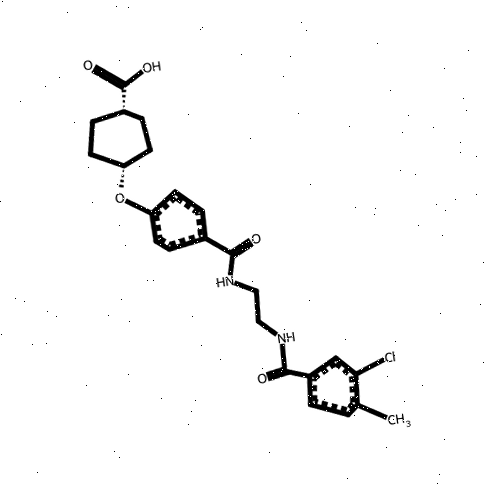 Cc1ccc(C(=O)NCCNC(=O)c2ccc(O[C@H]3CC[C@@H](C(=O)O)CC3)cc2)cc1Cl